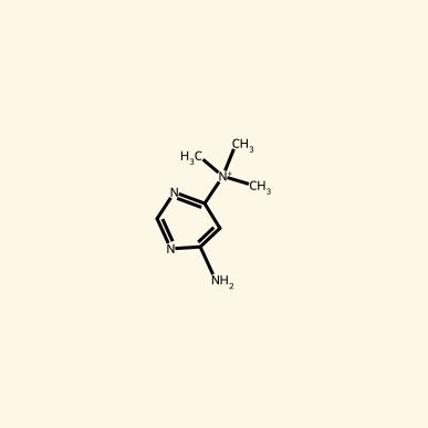 C[N+](C)(C)c1cc(N)ncn1